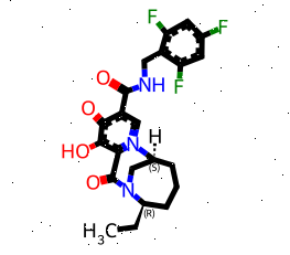 CC[C@@H]1CCC[C@H]2CN1C(=O)c1c(O)c(=O)c(C(=O)NCc3c(F)cc(F)cc3F)cn12